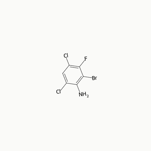 Nc1c(Cl)cc(Cl)c(F)c1Br